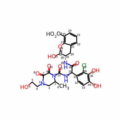 CC1CN(CCO)C(=O)C(=O)N1C(=O)NC(C(=O)N[C@H]1Cc2cccc(C(=O)O)c2OB1O)c1ccc(O)c(O)c1Cl